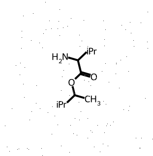 CC(C)C(C)OC(=O)C(N)C(C)C